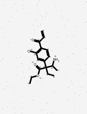 C=CC(=O)c1ccc(C(CC)(C(=O)OCC)C(C)N)cc1Cl